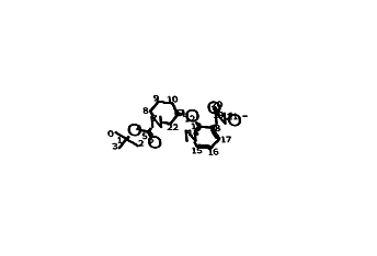 CC(C)(C)OC(=O)N1CCC[C@H](Oc2ncccc2[N+](=O)[O-])C1